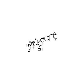 O=C1CN(c2c(O)cc3c(c2F)C[C@H](CNCC2(CF)CC2)O3)S(=O)(=O)N1